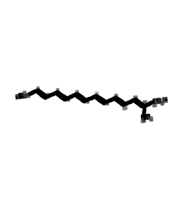 CCCCCCCCCC=CC=CC=CC=CC=CC=C(C(=O)O)[N+](=O)[O-]